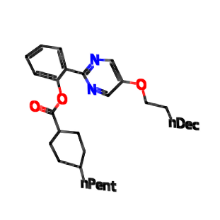 CCCCCCCCCCCCOc1cnc(-c2ccccc2OC(=O)C2CCC(CCCCC)CC2)nc1